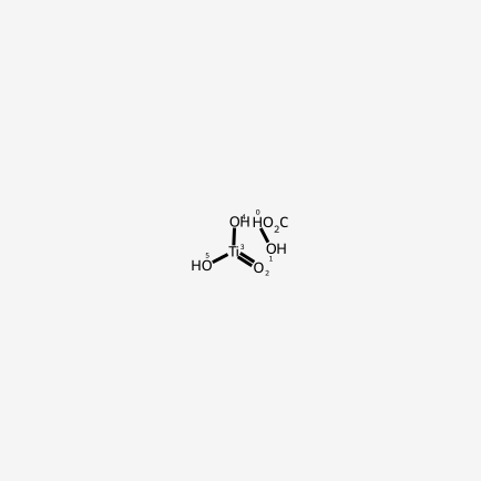 O=C(O)O.[O]=[Ti]([OH])[OH]